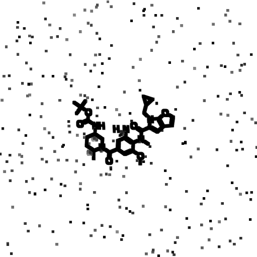 COc1cc(C(=O)N2C[C@H](NC(=O)OC(C)(C)C)CC[C@@H]2C)cc(N)c1N(C)C(=O)c1cc2ccoc2n1CC1CC1